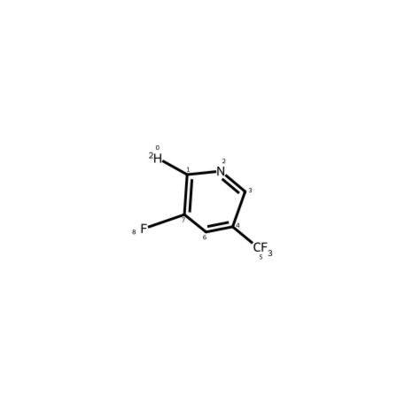 [2H]c1ncc(C(F)(F)F)cc1F